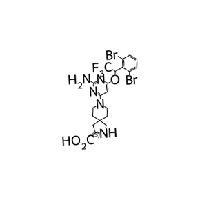 Nc1nc(OC(c2c(Br)cccc2Br)C(F)(F)F)cc(N2CCC3(CC2)CN[C@H](C(=O)O)C3)n1